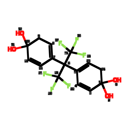 OC1(O)C=CC(C(C2=CCC(O)(O)C=C2)(C(F)(F)F)C(F)(F)F)=CC1